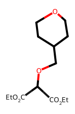 CCOC(=O)C(OCC1CCOCC1)C(=O)OCC